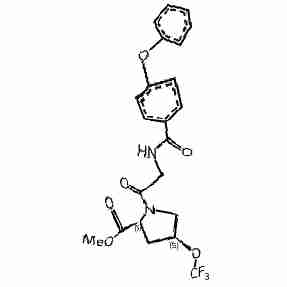 COC(=O)[C@@H]1C[C@H](OC(F)(F)F)CN1C(=O)CNC(=O)c1ccc(Oc2ccccc2)cc1